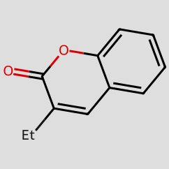 [CH2]Cc1cc2ccccc2oc1=O